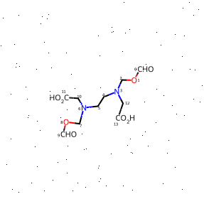 O=COCN(CCN(COC=O)CC(=O)O)CC(=O)O